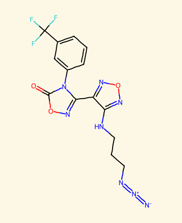 [N-]=[N+]=NCCCNc1nonc1-c1noc(=O)n1-c1cccc(C(F)(F)F)c1